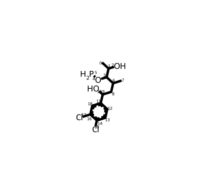 CC(O)C(OP)C(C)CC(O)c1ccc(Cl)c(Cl)c1